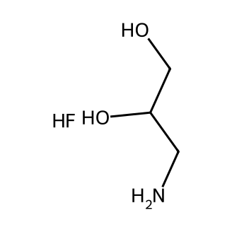 F.NCC(O)CO